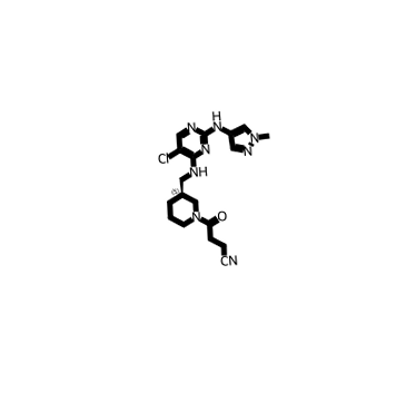 Cn1cc(Nc2ncc(Cl)c(NC[C@@H]3CCCN(C(=O)CCC#N)C3)n2)cn1